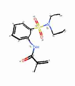 C=C(C)C(=O)Nc1ccccc1S(=O)(=O)N(CC)CC